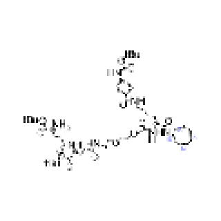 CC(C)(C)OC(=O)Nc1ccc(C(=O)NCCCC[C@H](NC(=O)COCCOCCNC(=O)CC[C@H](NC(=O)CC[C@H](N)C(=O)OC(C)(C)C)C(=O)OC(C)(C)C)C(=O)NC2=C/C=C\C=C/C=C\2)cc1